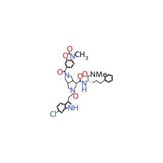 CNC(=O)[C@H](CCCc1ccccc1)NC(=O)C1CN(C(=O)Cc2c[nH]c3cc(Cl)ccc23)CC2CN(C(=O)c3ccc4c(c3)oc(=O)n4C)CC21